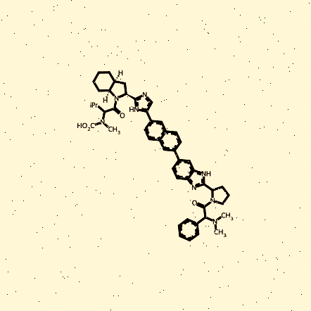 CC(C)C(C(=O)N1[C@H](c2ncc(-c3ccc4cc(-c5ccc6nc(C7CCCN7C(=O)C(c7ccccc7)N(C)C)[nH]c6c5)ccc4c3)[nH]2)C[C@@H]2CCCC[C@@H]21)N(C)C(=O)O